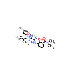 C=C(C)[C@@H](Nc1nsnc1Nc1cccc(C(=O)N(C)C)c1O)c1cc(C(C)C)co1